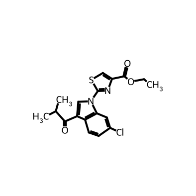 CCOC(=O)c1csc(-n2cc(C(=O)C(C)C)c3ccc(Cl)cc32)n1